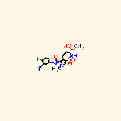 C=CC(O)[C@H]1C=Cc2c(cn(C)c2C(=O)Nc2ccc(F)c(C#N)c2)S(=O)(=O)N1